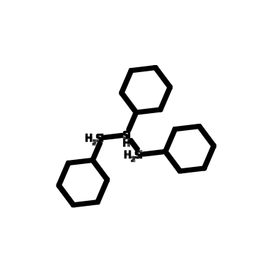 C1CCC([SiH2][SiH]([SiH2]C2CCCCC2)C2CCCCC2)CC1